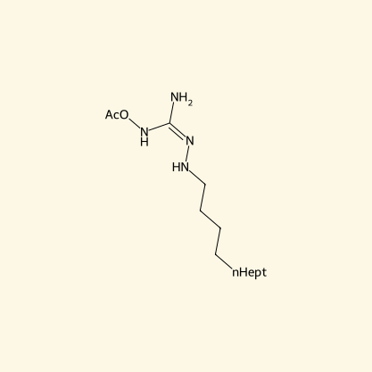 CCCCCCCCCCCNN=C(N)NOC(C)=O